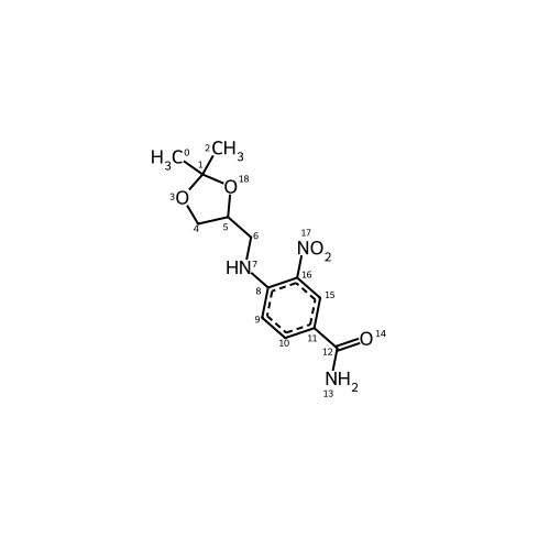 CC1(C)OCC(CNc2ccc(C(N)=O)cc2[N+](=O)[O-])O1